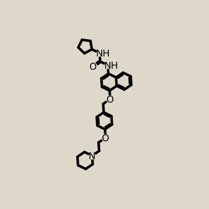 O=C(Nc1ccc(OCc2ccc(OCCN3CCCCC3)cc2)c2ccccc12)NC1CCCC1